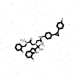 CN(Cc1ccccc1F)C(=O)CN(CC(=O)Nc1ccc(C2CC2c2ccc(F)cc2)cc1)C(C)(O)c1cc2cccc(F)c2[nH]1